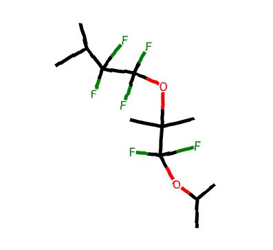 CC(C)OC(F)(F)C(C)(C)OC(F)(F)C(F)(F)C(C)C